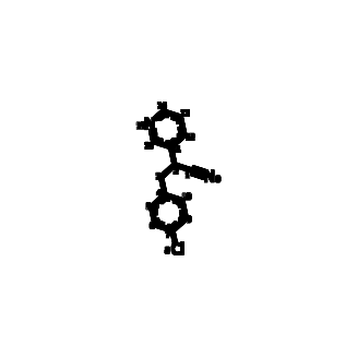 N#CC(Cc1ccc(Cl)cc1)c1cccnc1